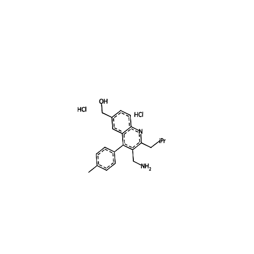 Cc1ccc(-c2c(CN)c(CC(C)C)nc3ccc(CO)cc23)cc1.Cl.Cl